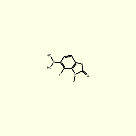 Cn1c(=O)oc2ccc(B(O)O)c(F)c21